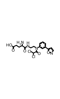 NC(CCC(=O)O)C(=O)NCCN(C(=O)C(Cl)Cl)c1cccc(-c2ccno2)c1